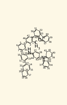 Cc1cc(-c2cccc(-c3ccc(-c4ccc5ccccc5c4)cc3Nc3ccc(-n4c5c(c6ccccc64)C=CCC5)cc3)c2)ccc1-c1cccc2c1oc1ccccc12